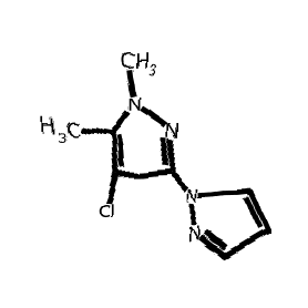 Cc1c(Cl)c(-n2cccn2)nn1C